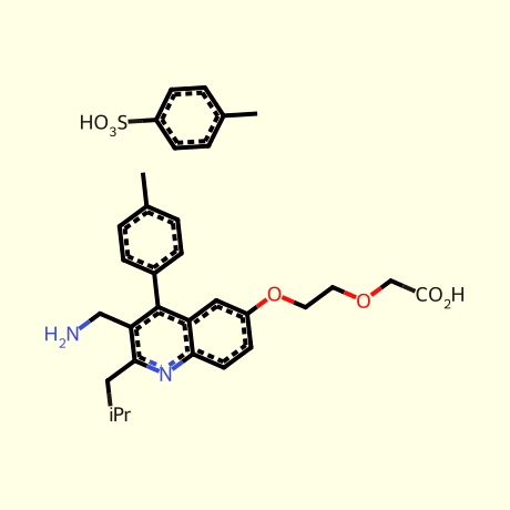 Cc1ccc(-c2c(CN)c(CC(C)C)nc3ccc(OCCOCC(=O)O)cc23)cc1.Cc1ccc(S(=O)(=O)O)cc1